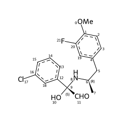 COc1ccc(C[C@@H](C)N[C@@](O)(C=O)c2cccc(Cl)c2)cc1F